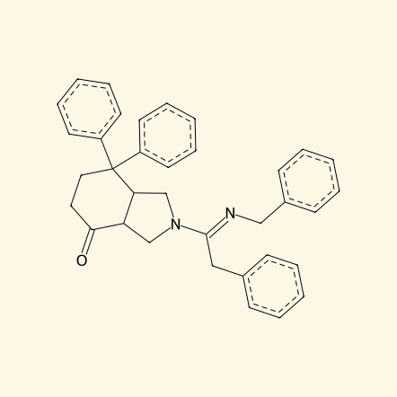 O=C1CCC(c2ccccc2)(c2ccccc2)C2CN(C(Cc3ccccc3)=NCc3ccccc3)CC12